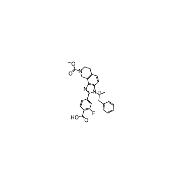 COC(=O)N1CCc2ccc3c(nc(-c4ccc(C(=O)O)c(F)c4)n3[C@@H](C)Cc3ccccc3)c2C1